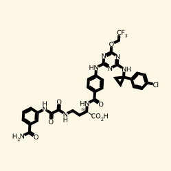 NC(=O)c1cccc(NC(=O)C(=O)NCC[C@H](NC(=O)c2ccc(Nc3nc(NC4(c5ccc(Cl)cc5)CC4)nc(OCC(F)(F)F)n3)cc2)C(=O)O)c1